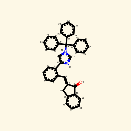 O=C1/C(=C/c2ccccc2-c2cn(C(c3ccccc3)(c3ccccc3)c3ccccc3)cn2)Cc2ccccc21